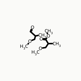 COCC(C)C(=O)OC.COCC(C)C=O